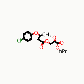 CCCOC(=O)C(=O)COC(=O)CC(C)Oc1ccc(Cl)cc1